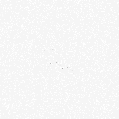 C=C/C=C(\C=C/SF)C(C)C